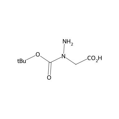 CC(C)(C)OC(=O)N(N)CC(=O)O